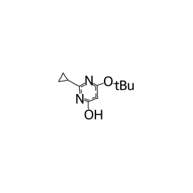 CC(C)(C)Oc1cc(O)nc(C2CC2)n1